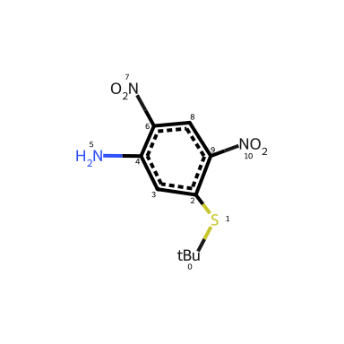 CC(C)(C)Sc1cc(N)c([N+](=O)[O-])cc1[N+](=O)[O-]